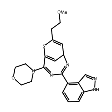 COCCC1=CC2C=C(S1)C(N1CCOCC1)=NC(c1cccc3[nH]ncc13)=N2